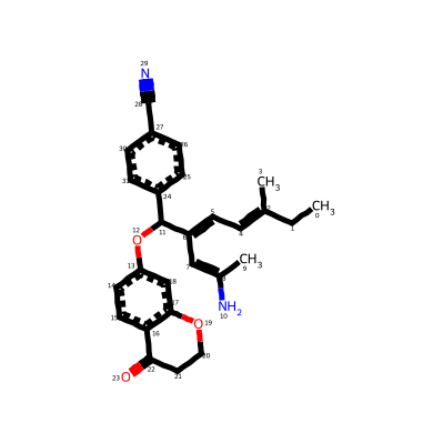 CC/C(C)=C/C=C(\C=C(/C)N)C(Oc1ccc2c(c1)OCCC2=O)c1ccc(C#N)cc1